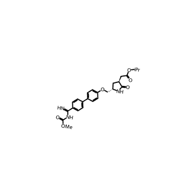 COC(=O)NC(=N)c1ccc(-c2ccc(OC[C@@H]3C[C@@H](CC(=O)OC(C)C)C(=O)N3)cc2)cc1